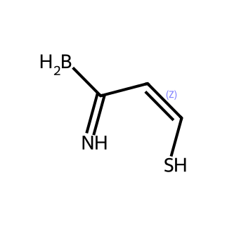 BC(=N)/C=C\S